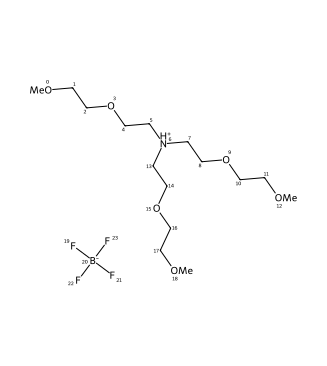 COCCOCC[NH+](CCOCCOC)CCOCCOC.F[B-](F)(F)F